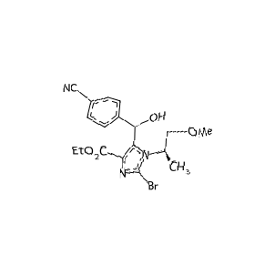 CCOC(=O)c1nc(Br)n([C@H](C)COC)c1C(O)c1ccc(C#N)cc1